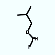 CC(C)COPF